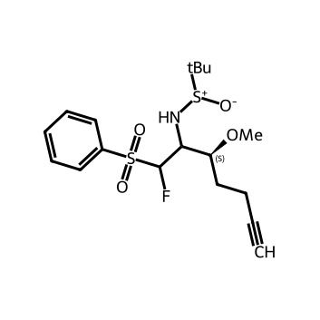 C#CCC[C@H](OC)C(N[S+]([O-])C(C)(C)C)C(F)S(=O)(=O)c1ccccc1